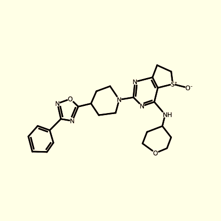 [O-][S+]1CCc2nc(N3CCC(c4nc(-c5ccccc5)no4)CC3)nc(NC3CCOCC3)c21